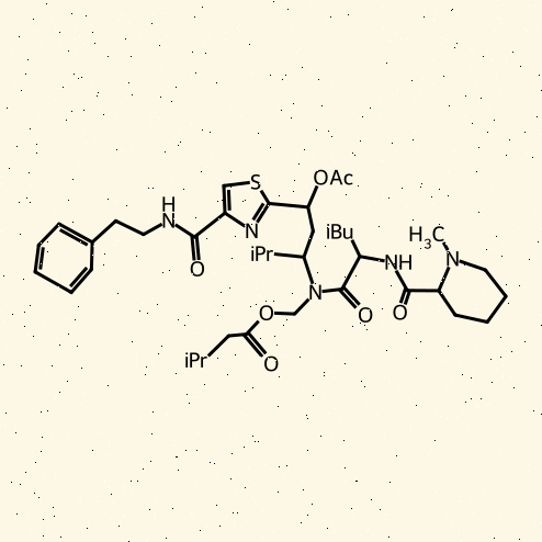 CCC(C)C(NC(=O)C1CCCCN1C)C(=O)N(COC(=O)CC(C)C)C(CC(OC(C)=O)c1nc(C(=O)NCCc2ccccc2)cs1)C(C)C